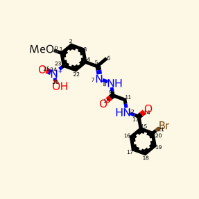 COc1ccc(/C(C)=N/NC(=O)CNC(=O)c2ccccc2Br)cc1[N+](=O)O